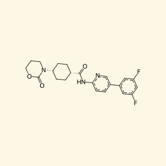 O=C1OCCCN1[C@H]1CC[C@@H](C(=O)Nc2ccc(-c3cc(F)cc(F)c3)cn2)CC1